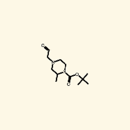 CC1CN(C[C]=O)CCN1C(=O)OC(C)(C)C